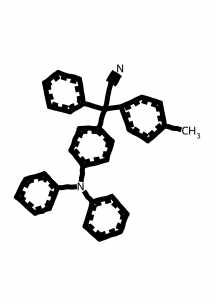 Cc1ccc(C(C#N)(c2ccccc2)c2ccc(N(c3ccccc3)c3ccccc3)cc2)cc1